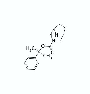 CC(C)(OC(=O)N1CC2CCC(C1)N2)c1ccccc1